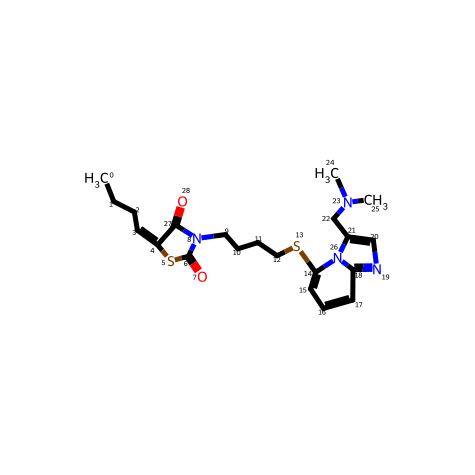 CCC/C=C1/SC(=O)N(CCCCSc2cccc3ncc(CN(C)C)n23)C1=O